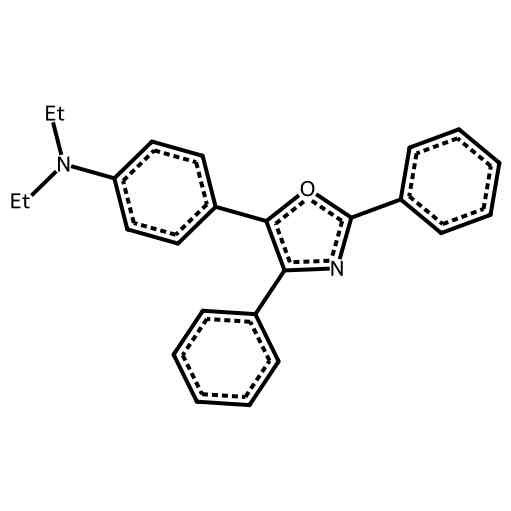 CCN(CC)c1ccc(-c2oc(-c3ccccc3)nc2-c2ccccc2)cc1